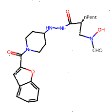 CCCCC[C@@H](CN(O)C=O)C(=O)NNC1CCN(C(=O)c2cc3ccccc3o2)CC1